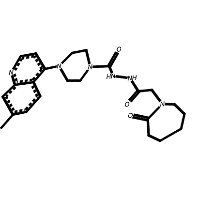 O=C(CN1CCCCCC1=O)NNC(=O)N1CCN(c2ccnc3cc(Cl)ccc23)CC1